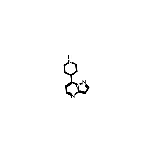 c1cc(C2CCNCC2)n2nccc2n1